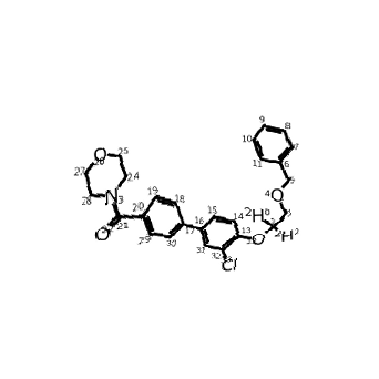 [2H]C([2H])(COCc1ccccc1)Oc1ccc(-c2ccc(C(=O)N3CCOCC3)cc2)cc1Cl